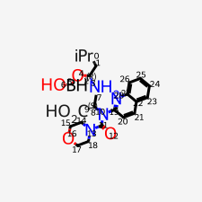 CC(C)C[C@H](N)OBO.C[C@@H](C(=O)O)N(C(=O)N1CCOCC1)c1ccc2ccccc2n1